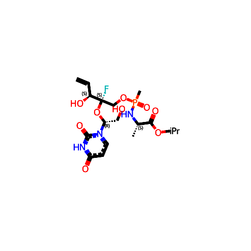 C=C[C@H](O)[C@@](F)(COP(C)(=O)N[C@@H](C)C(=O)OC(C)C)O[C@H](CO)n1ccc(=O)[nH]c1=O